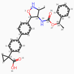 CC1NOC(c2ccc(-c3ccc(C4(C(=O)O)CC4)cc3)cc2)C1NC(=O)O[C@H](C)c1ccccc1